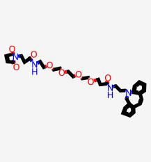 O=C(CCOCCOCCOCCOCCNC(=O)CCN1C(=O)C=CC1=O)NCCCN1Cc2ccccc2/C=C\c2ccccc21